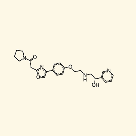 O=C(Cc1nc(-c2ccc(OCCNC[C@@H](O)c3cccnc3)cc2)co1)N1CCCC1